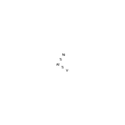 [Al].[Ni].[Ti].[Ti].[V]